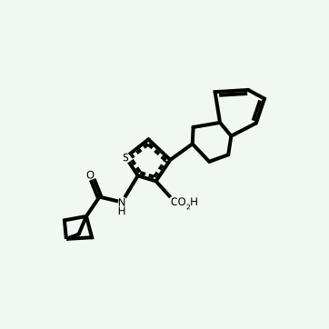 O=C(O)c1c(C2CCC3C=CC=CC3C2)csc1NC(=O)C12CC(C1)C2